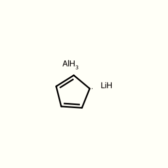 [AlH3].[CH]1C=CC=C1.[LiH]